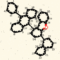 c1ccc(-c2c3ccccc3c(-c3ccc(-c4cccc5ccccc45)c4oc5ccccc5c34)c3ccccc23)cc1